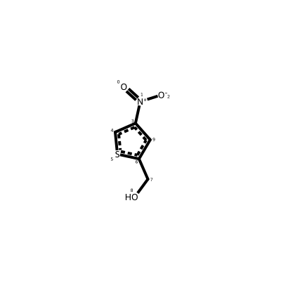 O=[N+]([O-])c1csc(CO)c1